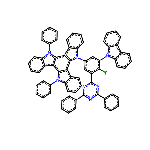 Fc1c(-c2nc(-c3ccccc3)nc(-c3ccccc3)n2)cc(-n2c3ccccc3c3c4c(c5ccccc5n4-c4ccccc4)c4c(c5ccccc5n4-c4ccccc4)c32)cc1-n1c2ccccc2c2ccccc21